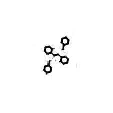 Cc1ccc(C(=O)O/C(=C(/OC(=O)c2ccc(C)cc2)c2c(C)cc(C)cc2C)c2c(C)cc(C)cc2C)cc1